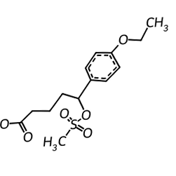 CCOc1ccc(C(CCCC(=O)O)OS(C)(=O)=O)cc1